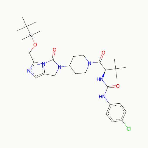 CC(C)(C)[C@@H](NC(=O)Nc1ccc(Cl)cc1)C(=O)N1CCC(N2Cc3cnc(CO[Si](C)(C)C(C)(C)C)n3C2=O)CC1